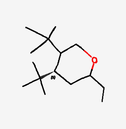 CCC1C[C@H](C(C)(C)C)C(C(C)(C)C)CO1